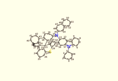 c1ccc(-n2c3ccccc3c3cc(N(c4ccc5c(c4)C4(c6ccccc6Sc6ccccc64)c4cccc6cccc-5c46)c4ccc5ccccc5c4)ccc32)cc1